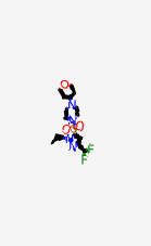 O=S(=O)(c1cc(C(F)F)nn1C1CC1)N1CCN(C2CCOCC2)CC1